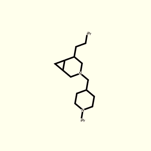 CC(C)CCC1CN(CC2CCN(C(C)C)CC2)CC2CC12